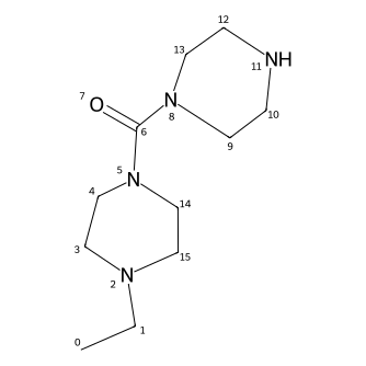 CCN1CCN(C(=O)N2CCNCC2)CC1